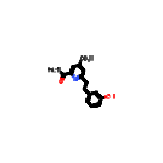 CNC(=O)c1cc(C(=O)O)cc(CCc2cccc(O)c2)n1